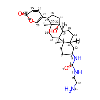 C[C@]12CC[C@H](NC(=O)NCCN)C[C@H]1CC[C@@H]1C2CC[C@]2(C)[C@@H](c3ccc(=O)oc3)CC[C@]12O